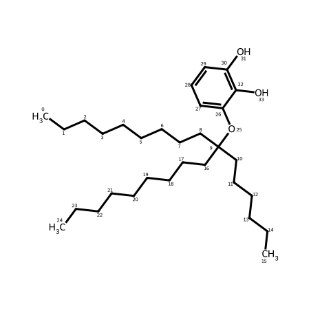 CCCCCCCCCC(CCCCCC)(CCCCCCCCC)Oc1cccc(O)c1O